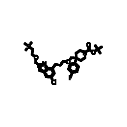 CC(C)(C)OC(=O)N1CCC(COCCCc2cc(Cl)cc3cn(COCC[Si](C)(C)C)nc23)(c2ccc(F)cc2)CC1